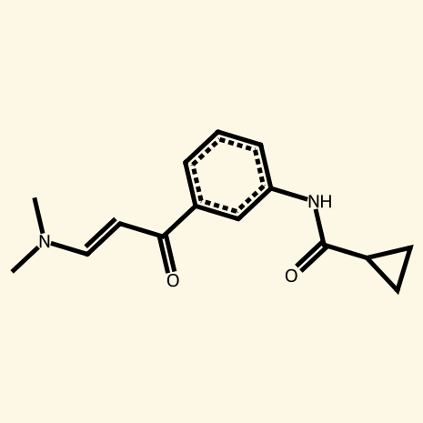 CN(C)/C=C/C(=O)c1cccc(NC(=O)C2CC2)c1